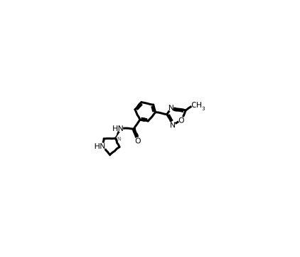 Cc1nc(-c2cccc(C(=O)N[C@H]3CCNC3)c2)no1